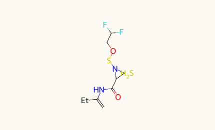 C=C(CC)NC(=O)C1CN1SOCC(F)F.S